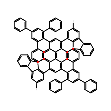 Ic1cc2c3c(c1)-c1cc(-c4c(-c5ccccc5)cc(-c5ccccc5)cc4-c4ccccc4)c4cc5c6c(cc(-c7c(-c8ccccc8)cc(-c8ccccc8)cc7-c7ccccc7)c7cc(c1c4c76)B3c1ccccc1-2)-c1cc(I)cc2c1B5c1ccccc1-2